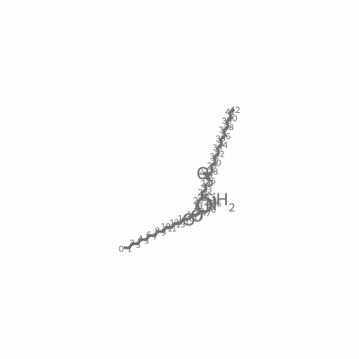 CCCCCCCCCCCCCCCOCOC1CCC(CCCSC(=O)CCCCCCCCCCCCCCC)[SiH2]N(C)CC1